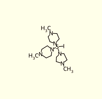 CN1CCN(S(I)(N2CCN(C)CC2)N2CCN(C)CC2)CC1